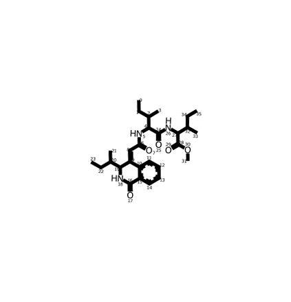 CCC(C)C(NC(=O)C=C1c2ccccc2C(=O)NC1C(C)CC)C(=O)NC(C(=O)OC)C(C)CC